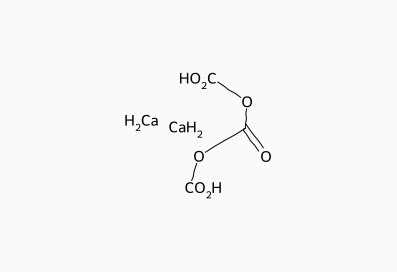 O=C(O)OC(=O)OC(=O)O.[CaH2].[CaH2]